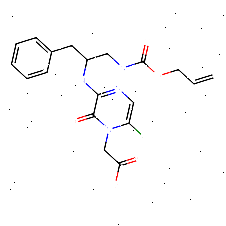 C=CCOC(=O)NCC(Cc1ccccc1)Nc1ncc(Cl)n(CC(=O)O)c1=O